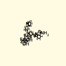 NC(=O)c1cccc2cn(-c3ccc(CN4CCC(c5ccccn5)C4)cc3)nc12.O=C(O)C(F)(F)F.O=C(O)C(F)(F)F